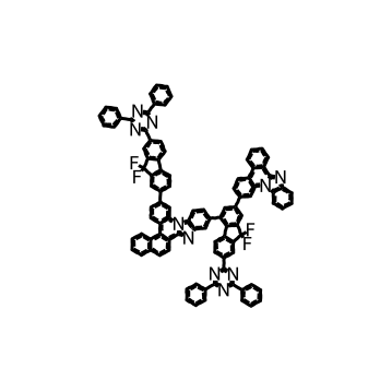 FC1(F)c2cc(-c3ccc4c5c6ccccc6ccc5c5nc6cc(-c7cc(-c8ccc9c%10ccccc%10c%10nc%11ccccc%11n%10c9c8)cc8c7-c7ccc(-c9nc(-c%10ccccc%10)nc(-c%10ccccc%10)n9)cc7C8(F)F)ccc6n5c4c3)ccc2-c2ccc(-c3nc(-c4ccccc4)nc(-c4ccccc4)n3)cc21